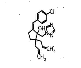 C=CCC1(CC=C)CC/C(=C/c2ccc(Cl)cc2)C1(O)Cn1cncn1